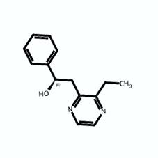 CCc1nccnc1C[C@@H](O)c1ccccc1